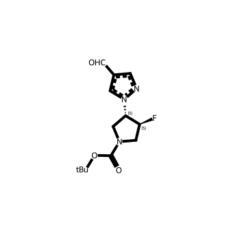 CC(C)(C)OC(=O)N1C[C@H](F)[C@@H](n2cc(C=O)cn2)C1